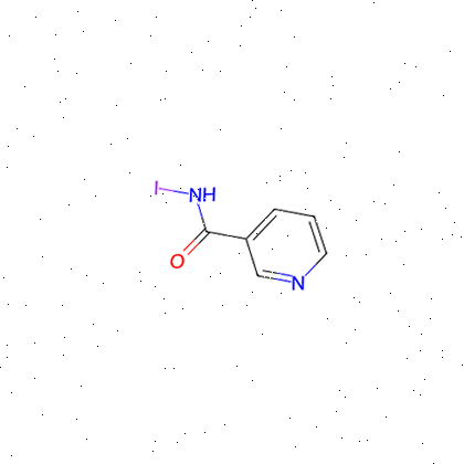 O=C(NI)c1cccnc1